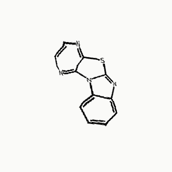 c1ccc2c(c1)nc1sc3nccnc3n12